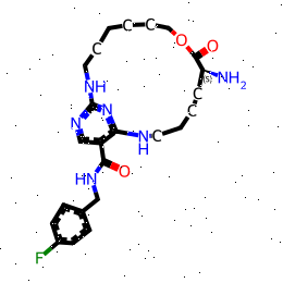 N[C@H]1CCCCNc2nc(ncc2C(=O)NCc2ccc(F)cc2)NCCCCCCOC1=O